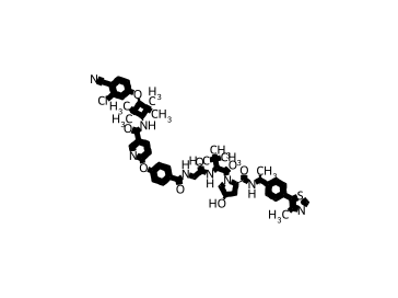 Cc1ncsc1-c1ccc([C@H](C)NC(=O)[C@@H]2C[C@@H](O)CN2C(=O)C(NC(=O)CNC(=O)c2ccc(Oc3ccc(C(=O)N[C@H]4C(C)(C)[C@H](Oc5ccc(C#N)c(Cl)c5)C4(C)C)cn3)cc2)C(C)(C)C)cc1